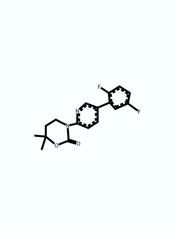 CC1(C)CCN(c2ccc(-c3cc(F)ccc3F)cn2)C(=O)O1